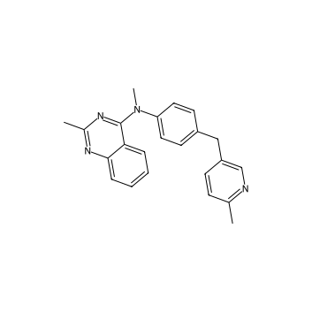 Cc1ccc(Cc2ccc(N(C)c3nc(C)nc4ccccc34)cc2)cn1